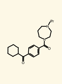 CC(C)N1CCCN(C(=O)c2ccc(C(=O)C3CCCCC3)cc2)CC1